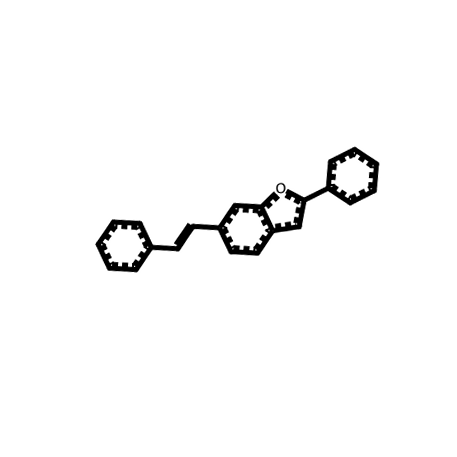 C(=C\c1ccc2cc(-c3ccccc3)oc2c1)/c1ccccc1